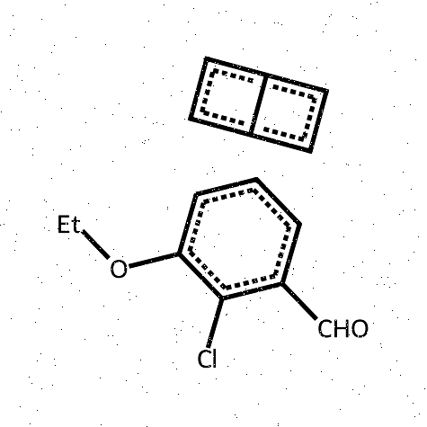 CCOc1cccc(C=O)c1Cl.c1cc2ccc1-2